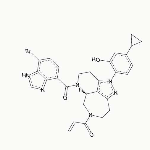 C=CC(=O)N1CCc2nn(-c3ccc(C4CC4)cc3O)c3c2[C@H](C1)N(C(=O)c1ccc(Br)c2[nH]cnc12)CC3